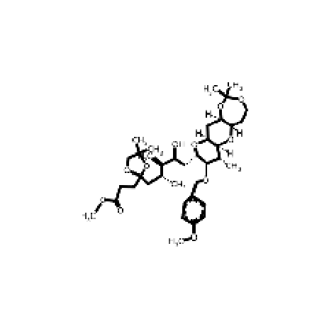 C=C(C(O)C[C@@H]1O[C@H]2C[C@H]3OC(C)(C)OCC[C@H]3O[C@H]2[C@H](C)[C@H]1OCc1ccc(OC)cc1)[C@H](C)CC1(CCC(=O)OC)OCC(C)(C)O1